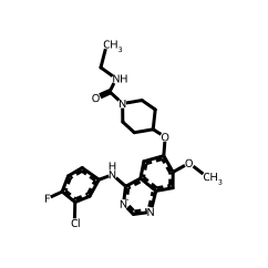 CCNC(=O)N1CCC(Oc2cc3c(Nc4ccc(F)c(Cl)c4)ncnc3cc2OC)CC1